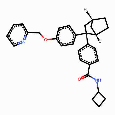 O=C(NC1CCC1)c1ccc([C@@]2(c3ccc(OCc4ccccn4)cc3)C[C@@H]3CC[C@H]2C3)cc1